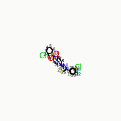 CC1(Cl)C=CC=CC1S(=O)(=O)N1CCN(c2nc(-c3ccc(F)c(Cl)c3)cs2)CC1